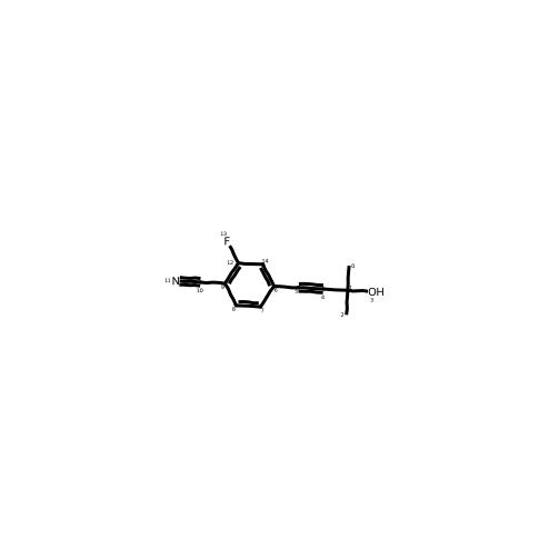 CC(C)(O)C#Cc1ccc(C#N)c(F)c1